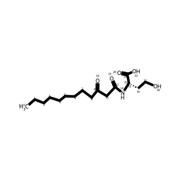 CCCCCCCCCC(=O)CC(=O)N[C@@H](CCO)C(=O)O